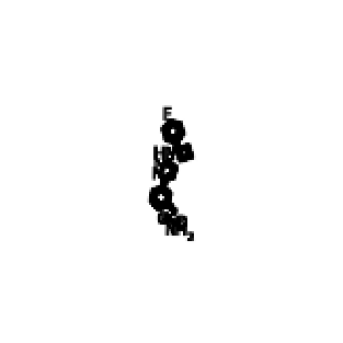 NS(=O)(=O)Cc1cccc(-c2ccc(NC3(c4ccc(F)cc4)CCC3)nn2)c1